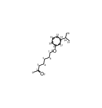 CC(=O)CCCCCOc1cccc(C(C)C)c1